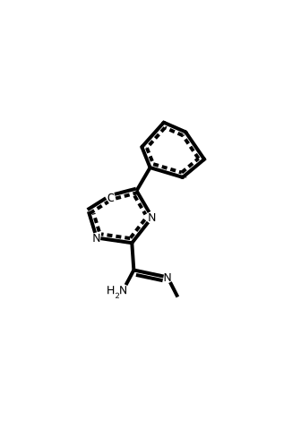 CN=C(N)c1nccc(-c2[c]cccc2)n1